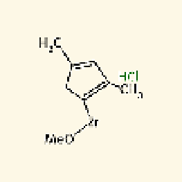 C[O][Zr][C]1=C(C)C=C(C)C1.Cl